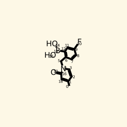 Cc1ccn(Cc2ccc(F)cc2B(O)O)c(=O)c1